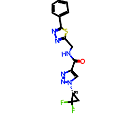 O=C(NCc1nnc(-c2ccccc2)s1)c1cn([C@@H]2CC2(F)F)nn1